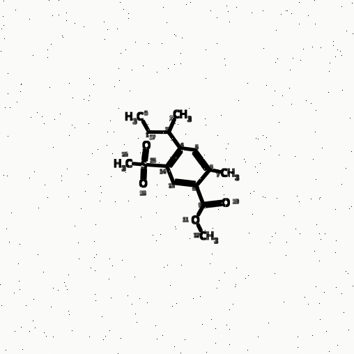 CCC(C)c1cc(C)c(C(=O)OC)cc1S(C)(=O)=O